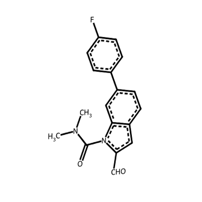 CN(C)C(=O)n1c(C=O)cc2ccc(-c3ccc(F)cc3)cc21